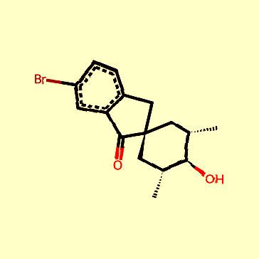 C[C@@H]1C[C@@]2(Cc3ccc(Br)cc3C2=O)C[C@H](C)[C@H]1O